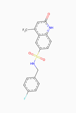 O=c1cc(C(F)(F)F)c2cc(S(=O)(=O)NCc3ccc(F)cc3)ccc2[nH]1